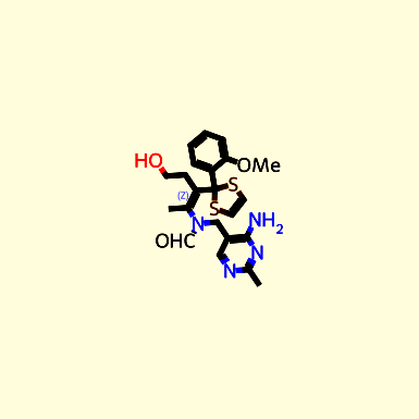 COc1ccccc1C1(/C(CCO)=C(/C)N(C=O)Cc2cnc(C)nc2N)SC=CS1